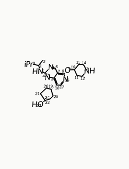 CC(C)C(C)Nc1ncc2c(OC3CCNCC3)ncc([C@H]3CC[C@H](O)CC3)c2n1